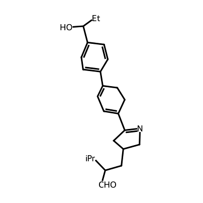 CCC(O)c1ccc(C2=CC=C(C3=NCC(CC(C=O)C(C)C)C3)CC2)cc1